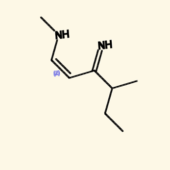 CCC(C)C(=N)/C=C\NC